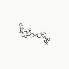 CNC(=O)C(CCC=O)N1C(=O)c2ccc(N3CCC4(CC3)CN(C(=O)OC(C)(C)C)CCO4)cc2C1=O